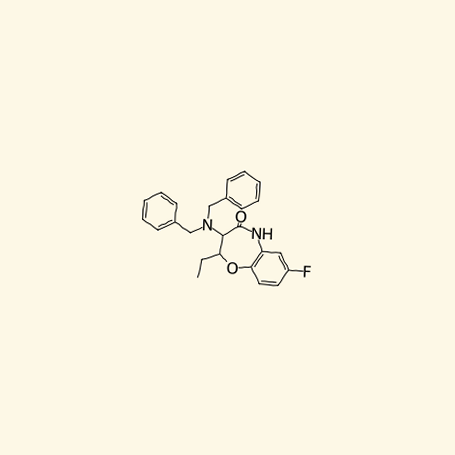 CCC1Oc2ccc(F)cc2NC(=O)C1N(Cc1ccccc1)Cc1ccccc1